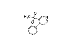 CS(=O)(=O)c1cnccc1-c1ccccc1